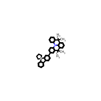 CC1(C)c2ccccc2N2c3ccc(-c4ccc5c(c4)[Si]4(CCCC4)c4ccccc4-5)cc3C(C)(C)c3cccc1c32